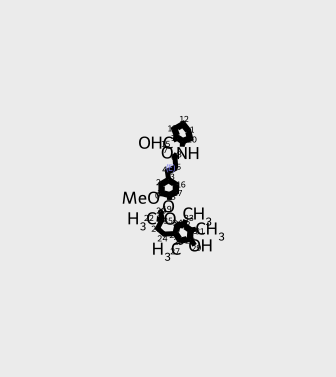 COc1cc(/C=C/C(=O)Nc2ccccc2C=O)ccc1OCC1(C)CCc2c(C)c(O)c(C)c(C)c2O1